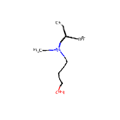 CCCC(CC)N(C)CCCO